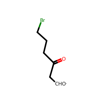 O=[C]CC(=O)CCCBr